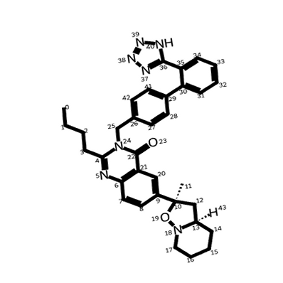 CCCCc1nc2ccc([C@@]3(C)C[C@H]4CCCCN4O3)cc2c(=O)n1Cc1ccc(-c2ccccc2-c2nnn[nH]2)cc1